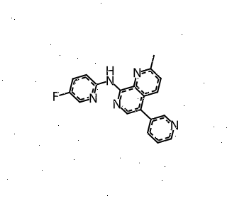 Cc1ccc2c(-c3cccnc3)cnc(Nc3ccc(F)cn3)c2n1